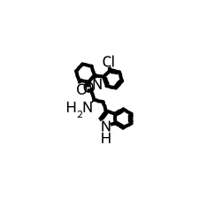 N[C@@H](Cc1c[nH]c2ccccc12)C1=NC2(c3ccccc3Cl)CCCC(O1)C2=O